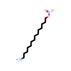 NCCCCCCCCCCCCCCO[N+](=O)[O-]